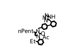 CCCCCc1cn(-c2c(CC)cccc2C(C)=O)c(=O)n1Cc1ccc(-c2ccccc2-c2nnn[nH]2)cc1